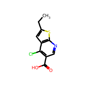 CCc1cc2c(Cl)c(C(=O)O)cnc2s1